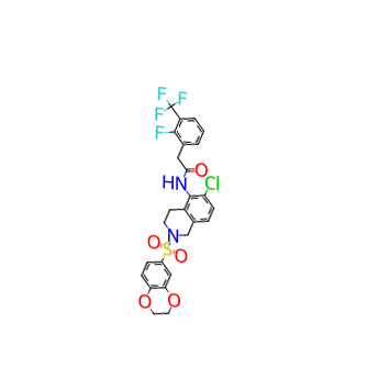 O=C(Cc1cccc(C(F)(F)F)c1F)Nc1c(Cl)ccc2c1CCN(S(=O)(=O)c1ccc3c(c1)OCCO3)C2